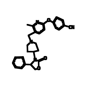 Cc1nc(Oc2ccc(C#N)cc2)ccc1CN1CCC(N2C(=O)OCC2c2ccccc2)CC1